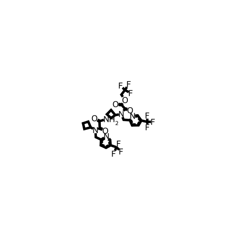 NC(=O)C(=O)N(Cc1ccc(C(F)(F)F)cn1)C1CCC1.O=C(OCC(F)(F)F)C(=O)N(Cc1ccc(C(F)(F)F)cn1)C1CCC1